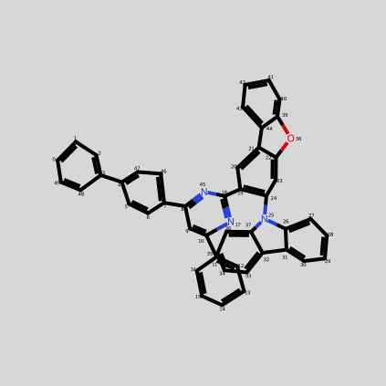 c1ccc(-c2ccc(-c3cc(-c4ccccc4)nc(-c4cc5c(cc4-n4c6ccccc6c6ccccc64)oc4ccccc45)n3)cc2)cc1